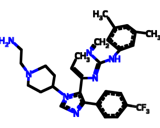 C=N/C(=N\C(=C/C)c1c(-c2ccc(C(F)(F)F)cc2)ncn1C1CCN(CCN)CC1)Nc1cc(C)cc(C)c1